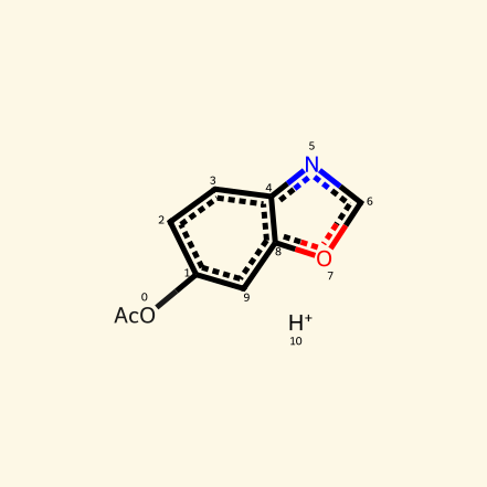 CC(=O)Oc1ccc2ncoc2c1.[H+]